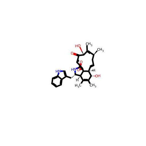 CC1=C(C)[C@H]2[C@H](Cc3c[nH]c4ccccc34)NC(=O)[C@]23C(=O)/C=C/C(=O)[C@H](O)/C(C)=C/[C@@H](C)C/C=C/[C@H]3[C@@H]1O